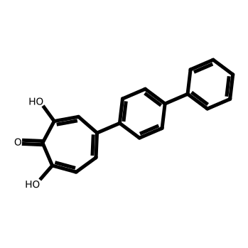 O=c1c(O)ccc(-c2ccc(-c3ccccc3)cc2)cc1O